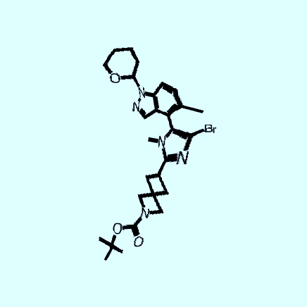 Cc1ccc2c(cnn2C2CCCCO2)c1-c1c(Br)nc(C2CC3(C2)CN(C(=O)OC(C)(C)C)C3)n1C